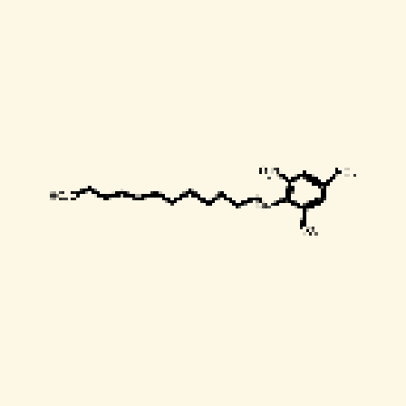 O=C(O)CCCCCCCCCCCNc1c([N+](=O)[O-])cc([N+](=O)[O-])cc1[N+](=O)[O-]